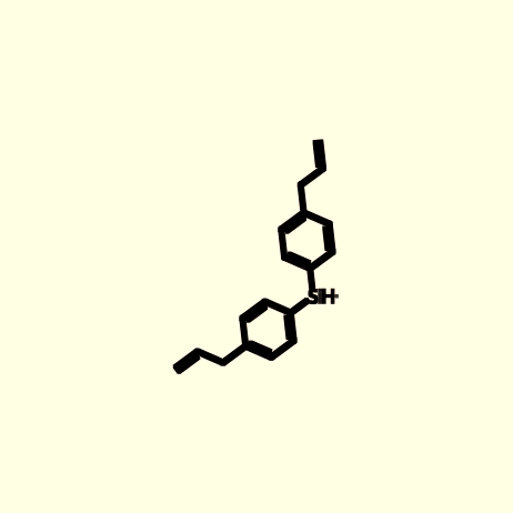 C=CCc1ccc([SiH]c2ccc(CC=C)cc2)cc1